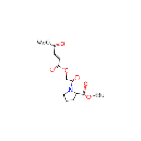 COC(=O)/C=C/C(=O)OCC(=O)N1CCCC1C(=O)OC(C)(C)C